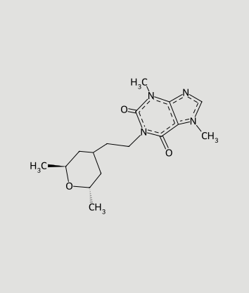 C[C@H]1CC(CCn2c(=O)c3c(ncn3C)n(C)c2=O)C[C@H](C)O1